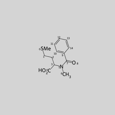 CSCCC(C(=O)O)N(C)C(=O)c1ccccc1